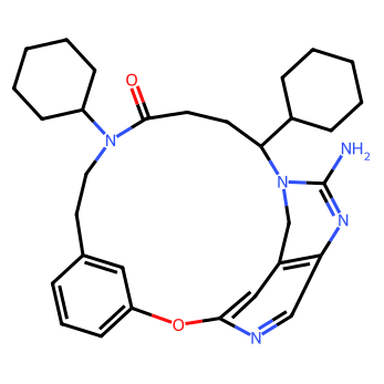 NC1=Nc2cnc3cc2CN1C(C1CCCCC1)CCC(=O)N(C1CCCCC1)CCc1cccc(c1)O3